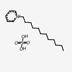 CCCCCCCCCCCC[n+]1ccccc1.O=S(=O)(O)O